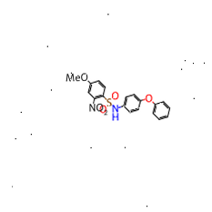 COc1ccc(S(=O)(=O)Nc2ccc(Oc3ccccc3)cc2)c([N+](=O)[O-])c1